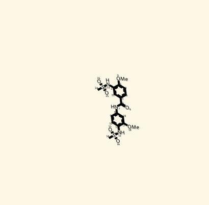 COc1ccc(C(=O)Nc2ccc(NS(C)(=O)=O)c(OC)c2)cc1NS(C)(=O)=O